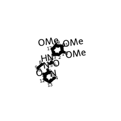 COc1cc(NC(=O)N2CCOc3cccnc32)cc(OC)c1OC